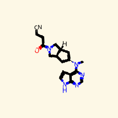 CN(c1ncnc2[nH]ccc12)[C@@H]1CC2CN(C(=O)CCC#N)C[C@@H]2C1